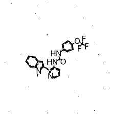 Cn1c(-c2ncccc2NC(=O)Nc2ccc(OC(F)(F)F)cc2)cc2ccccc21